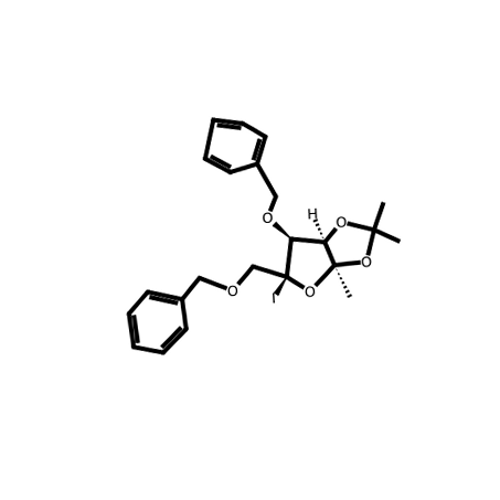 CC1(C)O[C@@H]2[C@H](OCc3ccccc3)[C@@](I)(COCc3ccccc3)O[C@]2(C)O1